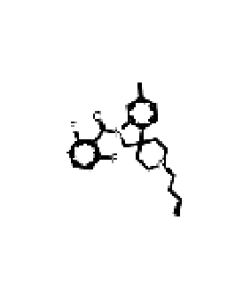 C=CCCN1CCC2(CC1)CN(C(=O)c1c(F)cccc1F)c1cc(C)ccc12